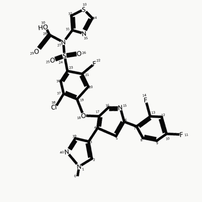 Cn1cc(-c2cc(-c3ccc(F)cc3F)ncc2Oc2cc(F)c(S(=O)(=O)N(C(=O)O)c3cscn3)cc2Cl)cn1